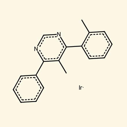 Cc1ccccc1-c1ncnc(-c2ccccc2)c1C.[Ir]